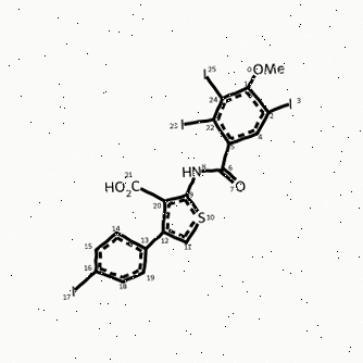 COc1c(I)cc(C(=O)Nc2scc(-c3ccc(I)cc3)c2C(=O)O)c(I)c1I